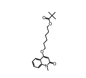 Cn1c(=O)cc(OCCCCCCOC(=O)C(C)(C)C)c2ccccc21